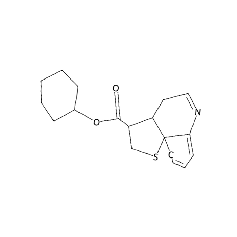 O=C(OC1CCCCC1)C1CSC23CC=CC=C2N=CCC13